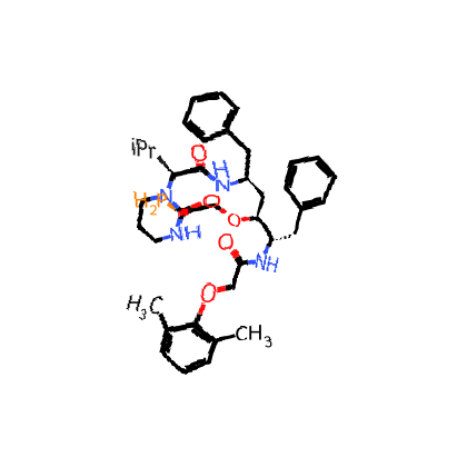 Cc1cccc(C)c1OCC(=O)N[C@@H](Cc1ccccc1)[C@H](C[C@H](Cc1ccccc1)NC(=O)[C@H](C(C)C)N1CCCNC1=O)OCCP